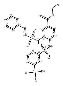 CCOC(=O)c1ccc(NS(=O)(=O)c2cccc(C(F)(F)F)c2)c(NS(=O)(=O)/C=C/c2ccccc2)c1